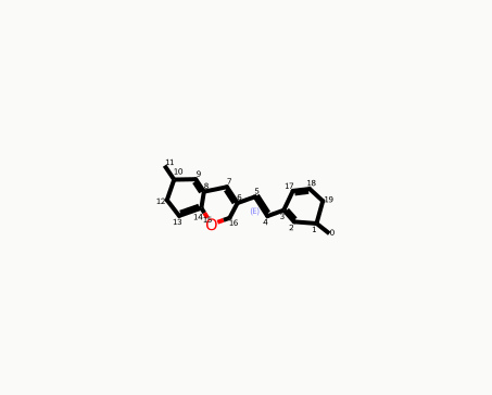 CC1C=C(/C=C/C2=CC3=CC(C)CC=C3OC2)C=CC1